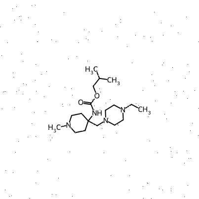 CCN1CCN(CC2(NC(=O)OCC(C)C)CCN(C)CC2)CC1